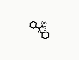 O=C(O)C(OC1CCCCO1)C1CCCCC1